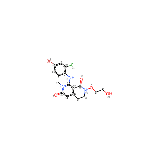 Cn1c(Nc2ccc(Br)cc2Cl)c2c(cc1=O)CCN(OCCO)C2=O